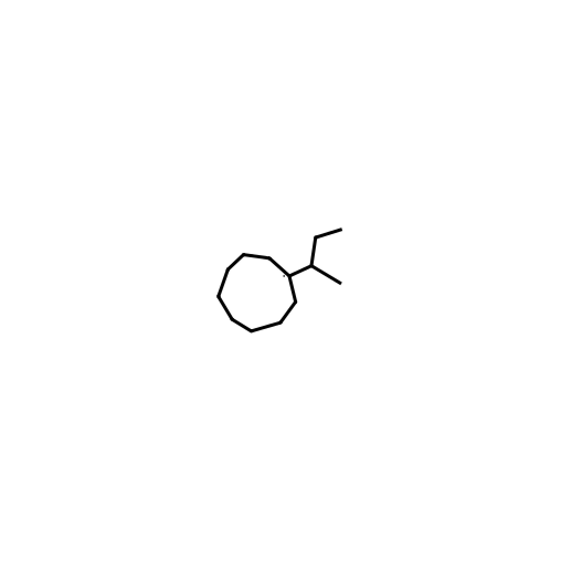 CCC(C)[C]1CCCCCCCC1